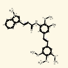 COc1cc(/C=C/c2cc(O)c(OC)c(NC(=O)/C=C/c3cn(C)c4ccccc34)c2)cc(OC)c1OC